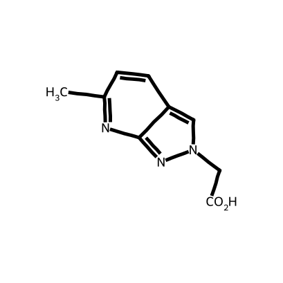 Cc1ccc2cn(CC(=O)O)nc2n1